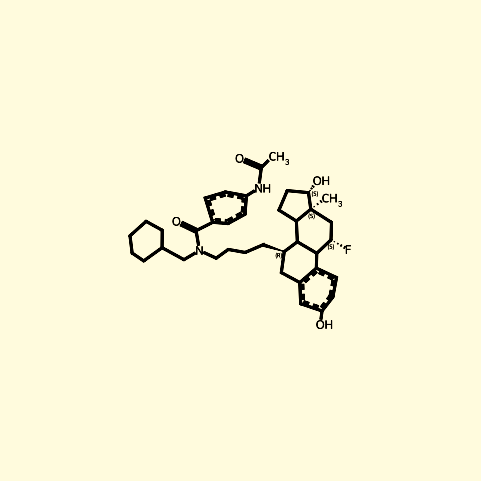 CC(=O)Nc1ccc(C(=O)N(CCCC[C@@H]2Cc3cc(O)ccc3C3C2C2CC[C@H](O)[C@@]2(C)C[C@@H]3F)CC2CCCCC2)cc1